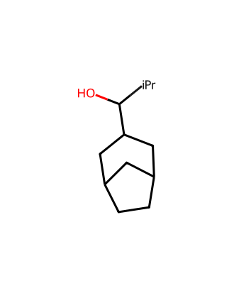 CC(C)C(O)C1CC2CCC(C2)C1